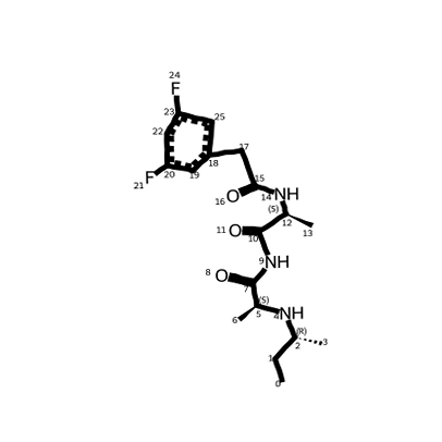 CC[C@@H](C)N[C@@H](C)C(=O)NC(=O)[C@H](C)NC(=O)Cc1cc(F)cc(F)c1